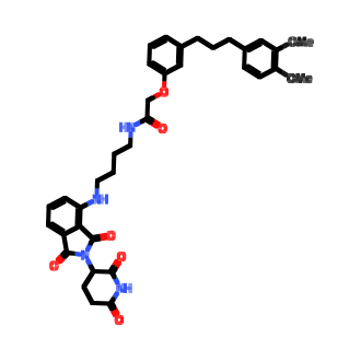 COc1ccc(CCCc2cccc(OCC(=O)NCCCCNc3cccc4c3C(=O)N(C3CCC(=O)NC3=O)C4=O)c2)cc1OC